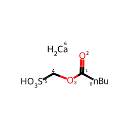 CCCCC(=O)OCS(=O)(=O)O.[CaH2]